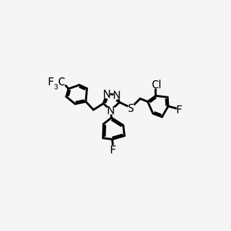 Fc1ccc(-n2c(Cc3ccc(C(F)(F)F)cc3)nnc2SCc2ccc(F)cc2Cl)cc1